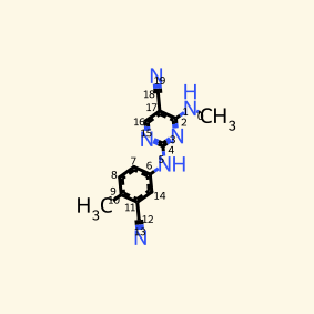 CNc1nc(Nc2ccc(C)c(C#N)c2)ncc1C#N